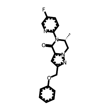 C[C@@H]1Cn2nc(COc3ccccc3)cc2C(=O)N1c1ccc(F)cn1